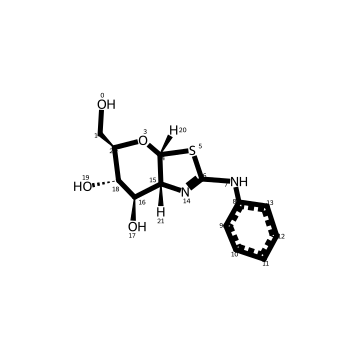 OC[C@H]1O[C@@H]2SC(Nc3ccccc3)=N[C@@H]2[C@@H](O)[C@@H]1O